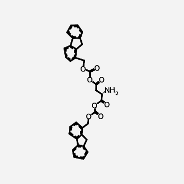 N[C@@H](CC(=O)OC(=O)OCc1cccc2c1Cc1ccccc1-2)C(=O)OC(=O)OCc1cccc2c1Cc1ccccc1-2